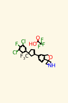 Fc1c(Cl)cc(C2(C(F)(F)F)CC=C(c3ccc4c(c3)COC43CNC3)C2)cc1Cl.O=C(O)C(F)(F)F